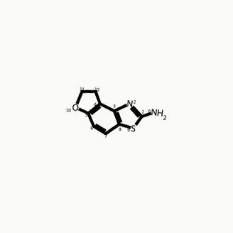 Nc1nc2c3c(ccc2s1)OCC3